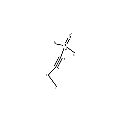 CCC#CP(C)(C)=S